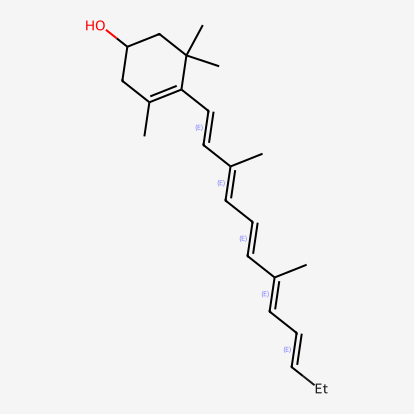 CC/C=C/C=C(C)/C=C/C=C(C)/C=C/C1=C(C)CC(O)CC1(C)C